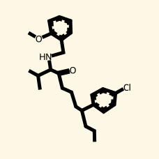 CCCC(CCCC(=O)C(NCc1ccccc1OC)C(C)C)c1ccc(Cl)cc1